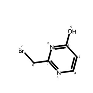 Oc1ccnc(CBr)n1